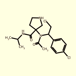 CC(=O)N(C(CCl)c1ccc(Cl)cc1)C1(C(=O)NC(C)C)CCNC1